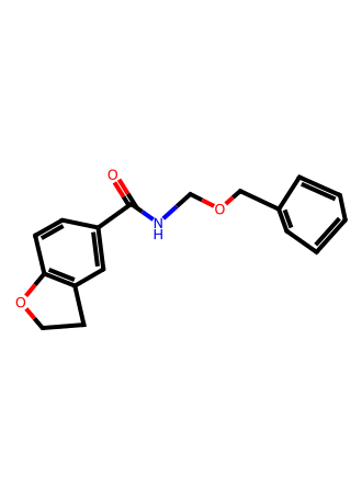 O=C(NCOCc1ccccc1)c1ccc2c(c1)CCO2